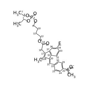 CCOP(=O)(OCC)OCCCCOC(=O)CC1=C(C)/C(=C/c2ccc([S+](C)[O-])cc2)c2ccc(F)cc21